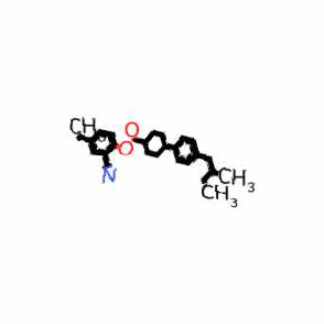 CCc1ccc(OC(=O)C2CCC(c3ccc(CC(C)CC)cc3)CC2)c(C#N)c1